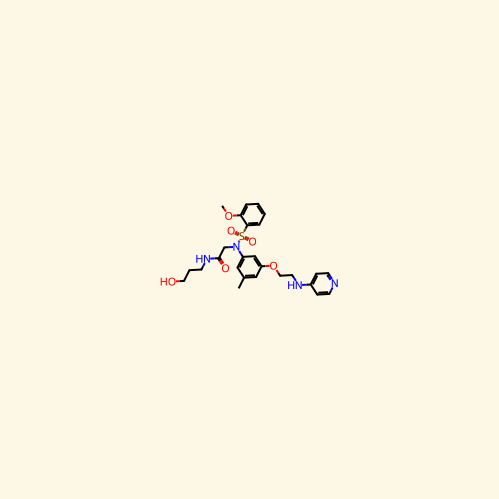 COc1ccccc1S(=O)(=O)N(CC(=O)NCCCO)c1cc(C)cc(OCCNc2ccncc2)c1